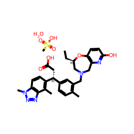 CC[C@@H]1CN(Cc2cc([C@@H](CC(=O)O)c3ccc4c(nnn4C)c3C)ccc2C)Cc2nc(O)ccc2O1.CS(=O)(=O)O.O